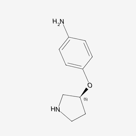 Nc1ccc(O[C@H]2CCNC2)cc1